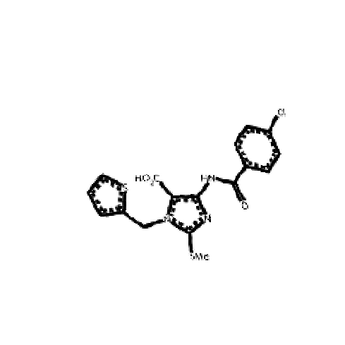 CSc1nc(NC(=O)c2ccc(Cl)cc2)c(C(=O)O)n1Cc1cccs1